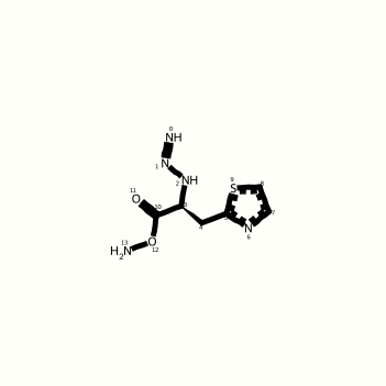 N=NN[C@@H](Cc1nccs1)C(=O)ON